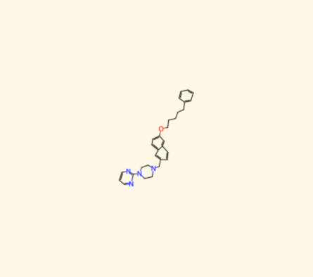 c1ccc(CCCCCOc2ccc3cc(CN4CCN(c5ncccn5)CC4)ccc3c2)cc1